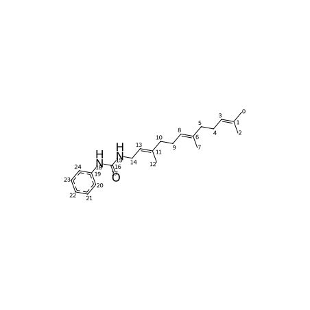 CC(C)=CCC/C(C)=C/CC/C(C)=C/CNC(=O)Nc1ccccc1